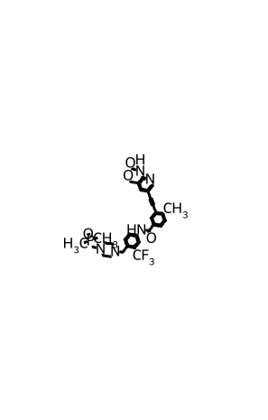 Cc1ccc(C(=O)Nc2ccc(CN3CCN(CP(C)(C)=O)CC3)c(C(F)(F)F)c2)cc1C#Cc1cnc2c(c1)COC(=O)N2